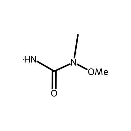 CON(C)C([NH])=O